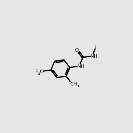 Cc1cc(C(F)(F)F)ccc1NC(=O)NI